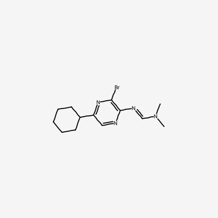 CN(C)/C=N/c1ncc(C2CCCCC2)nc1Br